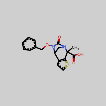 CC1(C(=O)O)c2sccc2C2CN1C(=O)N2OCc1ccccc1